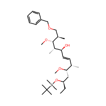 CC[C@H](C[C@H](OC)[C@@H](C)/C=C/[C@H](O)[C@H](C)[C@H](OC)[C@H](C)COCc1ccccc1)O[Si](C)(C)C(C)(C)C